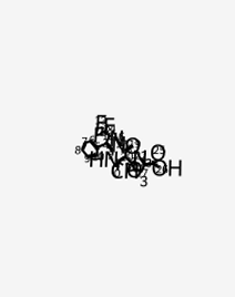 Cc1[nH]c2c(-c3ccccc3)c(C(F)(F)F)nn2c(=O)c1C1=NC(C(=O)O)CO1